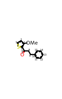 COc1ccsc1C(=O)CCc1ccccc1